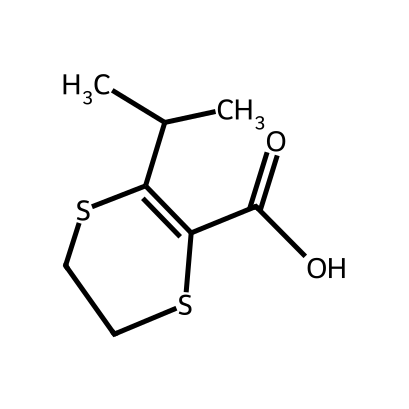 CC(C)C1=C(C(=O)O)SCCS1